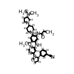 C=CC(=O)Nc1cc(Nc2cc(N3OCC[C@@H]3c3cccc(C#N)c3)ncn2)c(OC)cc1N1CCC(N2CC[C@H](N(C)C)C2)CC1